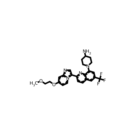 COCCOc1ccn2c(-c3ccc4cc(C(F)(F)F)cc(N5CCC(N)CC5)c4n3)cnc2c1